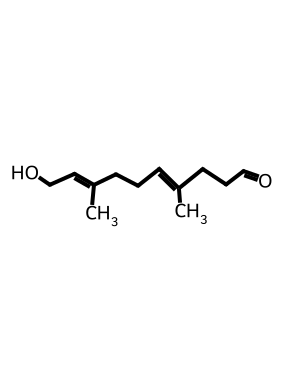 C/C(=C\CC/C(C)=C/CO)CCC=O